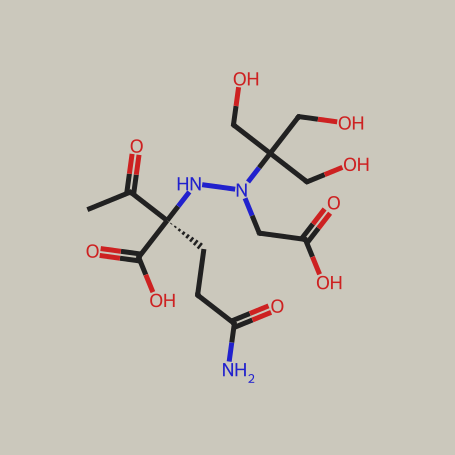 CC(=O)[C@@](CCC(N)=O)(NN(CC(=O)O)C(CO)(CO)CO)C(=O)O